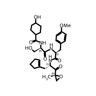 COc1ccc(C[C@H](NC(=O)[C@@H](CO)NC(=O)C2CCC(O)CC2)C(=O)N[C@@H](CC2=CCCC2)C(=O)[C@@]2(C)CO2)cc1